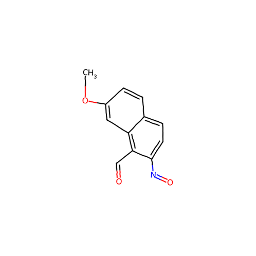 COc1ccc2ccc(N=O)c(C=O)c2c1